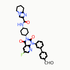 O=Cc1ccc(-c2cccc(-n3c(=O)n([C@H]4CC[C@@H](NC(=O)c5cn6c(n5)CCCC6)CC4)c(=O)c4cc(F)cnc43)c2)cc1